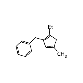 CCC1=C(Cc2ccccc2)C=C(C)C1